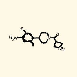 Cc1cc(N)c(F)cc1C1CCN(C(=O)C2CNC2)CC1